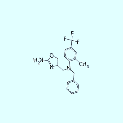 Cc1cc(C(F)(F)F)ccc1N(Cc1ccccc1)CC1COC(N)=N1